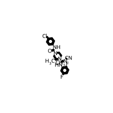 CC1(C)CN(C(=O)Nc2ccc(Cl)cc2)CCN1/C(=N\C#N)Nc1cc(F)ccc1F